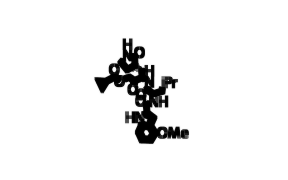 COc1cccc2[nH]c(C(=O)NC(CC(C)C)C(=O)NC(C[C@@H]3CCNC3=O)C(=O)COC(=O)C3CC3)cc12